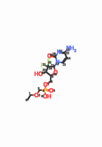 CCOCP(=O)(O)OCC1OC(n2ccc(N)nc2=O)C(F)(F)C1O